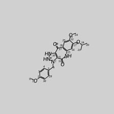 COc1ccc(CN2NNc3c2c(=O)[nH]c2cc(OC(C)C)c(OC)cc2c3=O)cc1